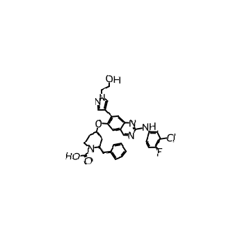 O=C(O)N1CCC(Oc2cc3cnc(Nc4ccc(F)c(Cl)c4)nc3cc2-c2cnn(CCO)c2)CC1Cc1ccccc1